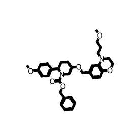 COCCCN1CCOc2ccc(COC3CCC(c4ccc(OC)cc4)N(C(=O)OCc4ccccc4)C3)cc21